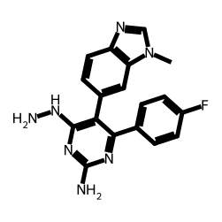 Cn1cnc2ccc(-c3c(NN)nc(N)nc3-c3ccc(F)cc3)cc21